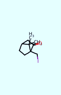 CC1(C)C2CCC1(CI)C(=O)C2